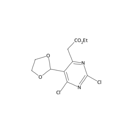 CCOC(=O)Cc1nc(Cl)nc(Cl)c1C1OCCO1